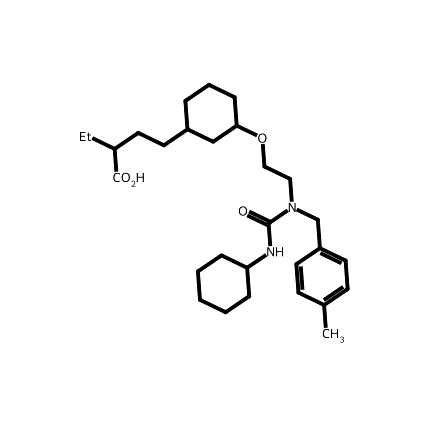 CCC(CCC1CCCC(OCCN(Cc2ccc(C)cc2)C(=O)NC2CCCCC2)C1)C(=O)O